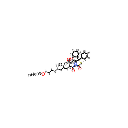 CCCCCCCOCCCCCCC=CC(C(=O)N1C(=O)SC(c2ccccc2)(c2ccccc2)C1C(C)C)C(O)(CCC)C(=O)O